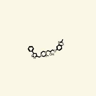 Cc1nc2cc(OC[C@H](O)CN3CCN(CC4=NOC(c5ccccc5)C4)C[C@@H]3C)ccc2s1